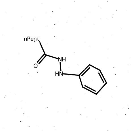 CCCCCC(=O)NNc1ccccc1